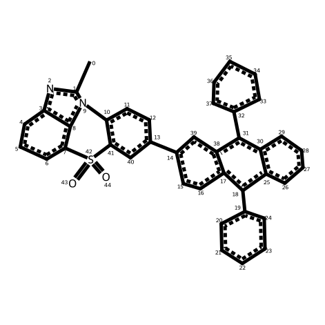 Cc1nc2cccc3c2n1-c1ccc(-c2ccc4c(-c5ccccc5)c5ccccc5c(-c5ccccc5)c4c2)cc1S3(=O)=O